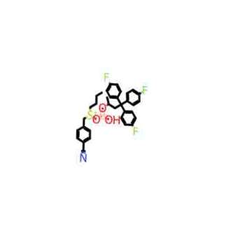 CCCC[S+](Cc1ccc(C#N)cc1)OB(O)OC(C)CC(c1ccc(F)cc1)(c1ccc(F)cc1)c1ccc(F)cc1